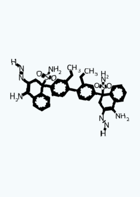 [H]/N=N/C1=C(N)c2ccccc2C(c2ccc(-c3ccc(C4(S(N)(=O)=O)CC(/N=N/[H])=C(N)c5ccccc54)cc3CC)c(CC)c2)(S(N)(=O)=O)C1